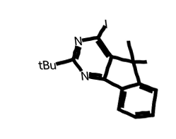 CC(C)(C)c1nc(I)c2c(n1)-c1ccccc1C2(C)C